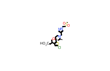 C[C@H]1C[C@@]2(CCN1Cc1cnn(CCS(C)(=O)=O)c1)OCC(CC(=O)O)c1cc(Cl)sc12